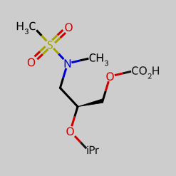 CC(C)O[C@H](COC(=O)O)CN(C)S(C)(=O)=O